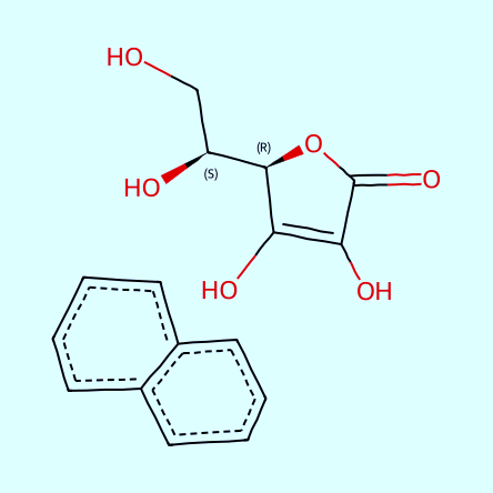 O=C1O[C@H]([C@@H](O)CO)C(O)=C1O.c1ccc2ccccc2c1